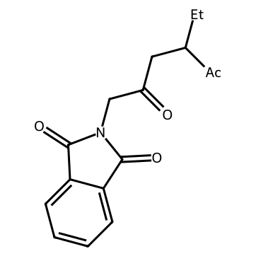 CCC(CC(=O)CN1C(=O)c2ccccc2C1=O)C(C)=O